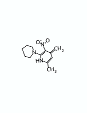 C=C1C=C(C)NC(N2CCCCC2)=C1[N+](=O)[O-]